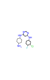 NC1CCC(Nc2cc(Nc3ccc(F)c(Cl)c3)ncn2)CC1